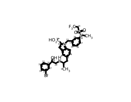 CC(Cc1ccc2c(c1)cc(C(=O)O)n2Cc1cccc(N(C)S(=O)(=O)CC(F)(F)F)c1)NCC(O)c1cccc(Br)c1